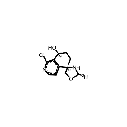 [2H]C1N[C@]2(CC[C@H](O)c3c2ccnc3Cl)CO1